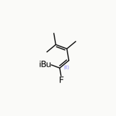 CCC(C)/C(F)=C\C(C)=C(C)C